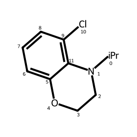 CC(C)N1CCOc2cccc(Cl)c21